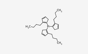 CCCCC1=[C]([Pr]([C]2=C(CCCC)C=CC2)[C]2=C(CCCC)C=CC2)CC=C1